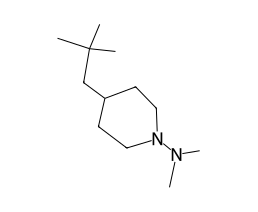 CN(C)N1CCC(CC(C)(C)C)CC1